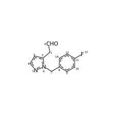 O=CCc1ccnn1Cc1ccc(F)cc1